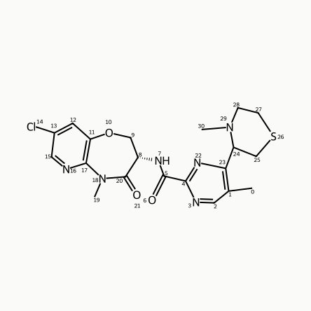 Cc1cnc(C(=O)N[C@H]2COc3cc(Cl)cnc3N(C)C2=O)nc1C1CSCCN1C